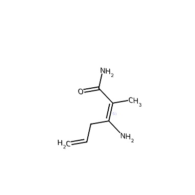 C=CC/C(N)=C(/C)C(N)=O